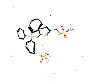 CS(=O)(=O)OC[C@H]1CC[C@H](C[P+](c2ccccc2)(c2ccccc2)c2ccccc2)O1.CS(=O)(=O)[O-]